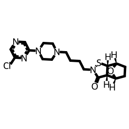 O=C1[C@@H]2[C@H](SN1CCCCN1CCN(c3cncc(Cl)n3)CC1)[C@@H]1CC[C@H]2O1